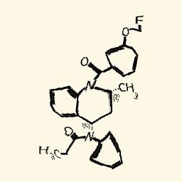 CCC(=O)N(c1ccccc1)[C@H]1C[C@@H](C)N(C(=O)c2cccc(OCF)c2)c2ccccc21